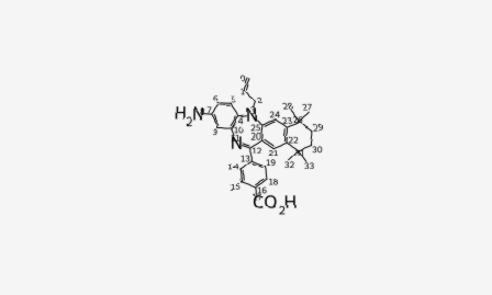 C=CCN1c2ccc(N)cc2N=C(c2ccc(C(=O)O)cc2)c2cc3c(cc21)C(C)(C)CCC3(C)C